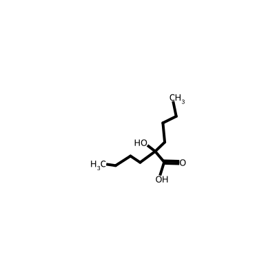 CCCCC(O)(CCCC)C(=O)O